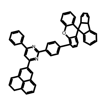 C1=CC2c3ccccc3C3(c4ccccc4Oc4c(-c5ccc(-c6nc(-c7ccccc7)cc(-c7cc8c9c(cccc9c7)CC=C8)n6)cc5)cccc43)C2C=C1